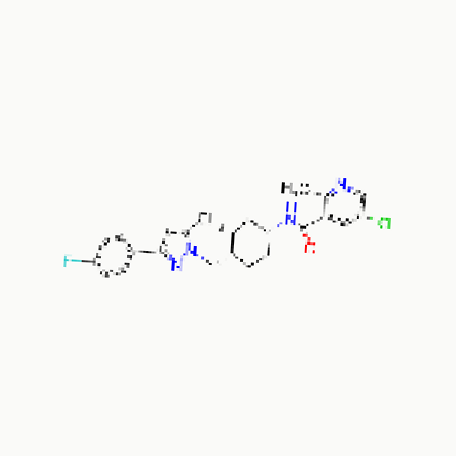 Cc1ncc(Cl)cc1C(=O)N[C@H]1CC[C@@H](Cn2nc(-c3ccc(F)cc3)cc2C)CC1